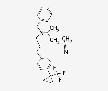 CC#N.CC(C)N(CCCc1ccc(C2(C(F)(F)F)CC2)cc1)Cc1ccccc1